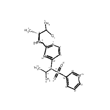 CC(Cl)[C@@H](C)Nc1nccc(N(C(C)C)S(=O)(=O)c2cccnc2)n1